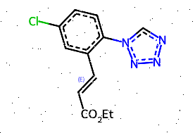 CCOC(=O)/C=C/c1cc(Cl)ccc1-n1cnnn1